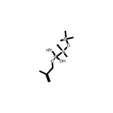 C=C(C)CO[Si](O)(CCC)[Si](C)(C)O[Si](C)(C)C